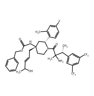 Cc1cc(F)ccc1[C@H]1C[C@@](C/C=C/C(C)O)(NC(=O)OCc2ccccc2)CCN1C(=O)C(C)(N)[C@H](C)c1cc(C(F)(F)F)cc(C(F)(F)F)c1